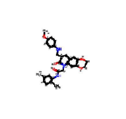 COc1ccc(NCc2cc3cc4c(cc3n(CC(=O)Nc3cc(C)ccc3C)c2=O)OCCO4)cc1